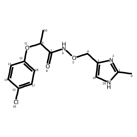 Cc1nc(CONC(=O)C(C)Oc2ccc(Cl)cc2)c[nH]1